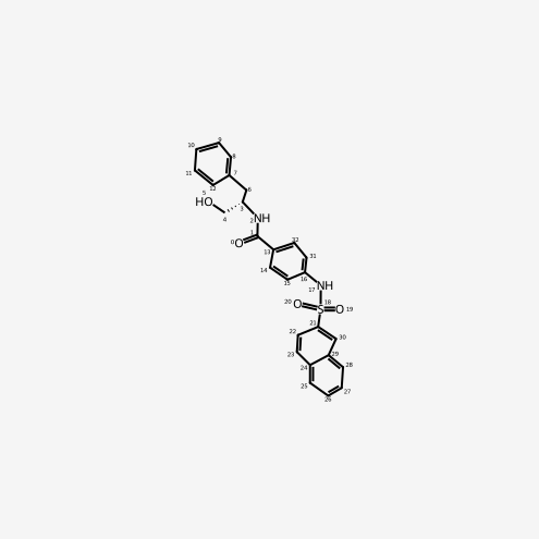 O=C(N[C@H](CO)Cc1ccccc1)c1ccc(NS(=O)(=O)c2ccc3ccccc3c2)cc1